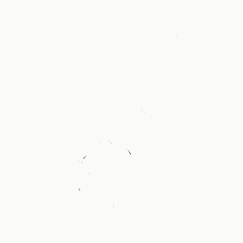 CCCC#Cc1c(O[C@@H]2C[C@@H](C(=O)OC)N(C(=O)[C@@H](NC(=O)O[C@@H]3CC3C)C3(C)CCCCC3)C2)nc2ccccc2c1OCCCC